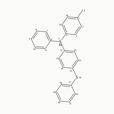 Cc1ccc([SH](c2ccccc2)c2ccc(Sc3ccccc3)cc2)cc1